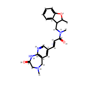 CC1Oc2ccccc2C1CN(C)C(=O)/C=C/c1cnc2c(c1)CN(C)CC(=O)N2